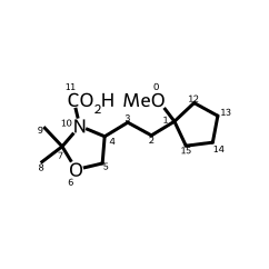 COC1(CCC2COC(C)(C)N2C(=O)O)CCCC1